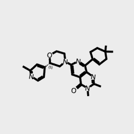 Cc1cc([C@H]2CN(c3cc4c(=O)n(C)c(C)nc4c(C4=CCC(C)(C)CC4)n3)CCO2)ccn1